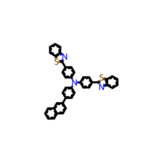 c1ccc2cc(-c3ccc(N(c4ccc(-c5nc6ccccc6s5)cc4)c4ccc(-c5nc6ccccc6s5)cc4)cc3)ccc2c1